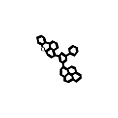 c1ccc(-c2cc(-c3ccc4c5c(cccc35)-c3ccccc3O4)cc(-c3ccc4ccc5cccc6ccc3c4c56)c2)cc1